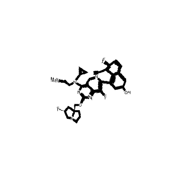 C#Cc1c(F)ccc2cc(O)cc(-c3ncc4c(N(CCNC)C5CC5)nc(OC[C@@]56CCCN5C[C@H](F)C6)nc4c3F)c12